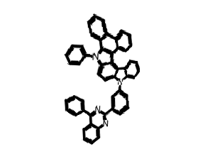 c1ccc(-c2nc(-c3cccc(-n4c5ccccc5c5c6c7c8ccccc8c8ccccc8c7n(-c7ccccc7)c6ccc54)c3)nc3ccccc23)cc1